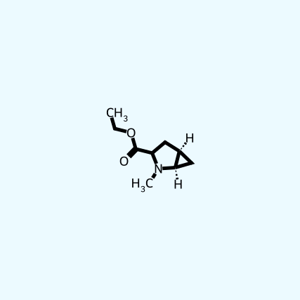 CCOC(=O)C1C[C@H]2C[C@H]2N1C